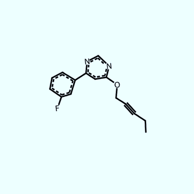 CCC#CCOc1cc(-c2cccc(F)c2)ncn1